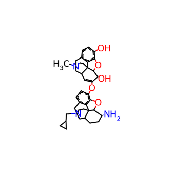 CN1CCC23c4c5ccc(O)c4OC2[C@@H](O)C(Oc2ccc4c6c2OC2[C@H](N)CCC7C(C4)N(CC4CC4)CCC672)=CC3C1C5